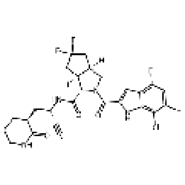 N#C[C@H](C[C@@H]1CCCNC1=O)NC(=O)[C@@H]1[C@H]2CC(F)(F)C[C@H]2CN1C(=O)c1cc2c(F)cc(F)c(Cl)c2[nH]1